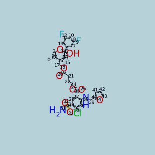 C[C@@H]1CO[C@@](O)(c2cc(F)cc(F)c2)[C@H](C)C1COC(=O)CCCOC(=O)c1cc(S(N)(=O)=O)c(Cl)cc1NCc1ccco1